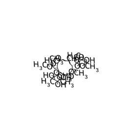 CCOC(C[C@H]1C[C@@H](C)C(=O)/C=C/C(C)=C/[C@H](COC2O[C@H](C)[C@@H](O)[C@@H](OC)[C@H]2OC)[C@@H](CC)OC(=O)C[C@@H](O)[C@H](C)[C@H]1O[C@@H]1O[C@H](C)[C@@H](O)[C@H](C)[C@H]1O)OCC